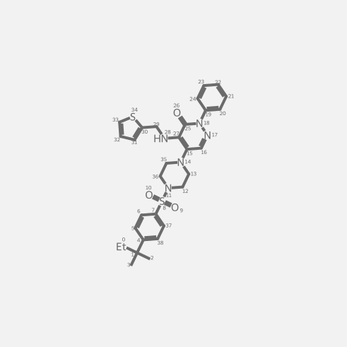 CCC(C)(C)c1ccc(S(=O)(=O)N2CCN(c3cnn(-c4ccccc4)c(=O)c3NCc3cccs3)CC2)cc1